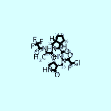 C[C@H](NC(=O)C(F)(F)F)C(=O)N1C[C@@H]2CCC[C@@H]2[C@H]1C(=O)NN(C[C@@H]1CCNC1=O)C(=O)[C@H](F)Cl